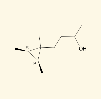 CC(O)CCC1(C)[C@H](C)[C@@H]1C